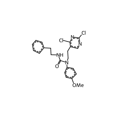 COc1ccc(N(CCc2cnc(Cl)nc2Cl)C(=O)NCCc2ccccc2)cc1